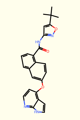 CC(C)(C)c1cc(NC(=O)c2cccc3cc(Oc4ccnc5[nH]ccc45)ccc23)no1